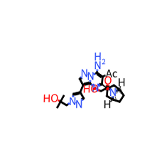 CC(=O)c1c([C@H]2C[C@H]3CC[C@@H](C2)N3C(=O)CO)nc2c(-c3cnn(CC(C)(C)O)c3)cnn2c1N